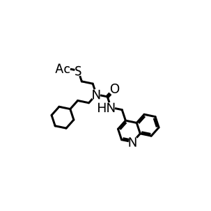 CC(=O)SCCN(CCC1CCCCC1)C(=O)NCc1ccnc2ccccc12